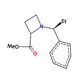 CC[C@@H](c1ccccc1)N1CCC1C(=O)OC